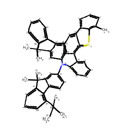 Cc1cccc2c1sc1c(-c3ccccc3N(c3ccc4c(c3)C(C)(C)c3ccccc3-4)c3ccc4c(c3)C(C)(C)c3cccc(C(C)(C)C)c3-4)cccc12